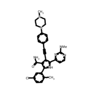 CNc1nccc(-c2[nH]c(-c3cc(Cl)ccc3C)c(C(N)=O)c2C#Cc2ccc(N3CCN(C)CC3)cc2)n1